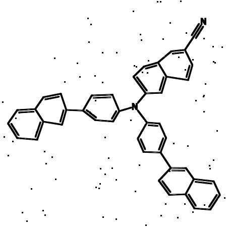 N#Cc1ccc2cc(N(c3ccc(-c4ccc5ccccc5c4)cc3)c3ccc(-c4ccc5ccccc5c4)cc3)ccc2c1